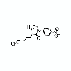 CCN(C(=O)CCCCCCCl)c1ccc([N+](=O)[O-])cc1